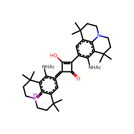 CC(=O)Nc1c(C2=C(O)/C(=c3/cc4c5c(c3NC(C)=O)C(C)(C)CC[PH]=5CCC4(C)C)C2=O)cc2c3c1C(C)(C)CCN3CCC2(C)C